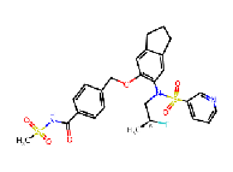 C[C@H](F)CN(c1cc2c(cc1OCc1ccc(C(=O)NS(C)(=O)=O)cc1)CCC2)S(=O)(=O)c1cccnc1